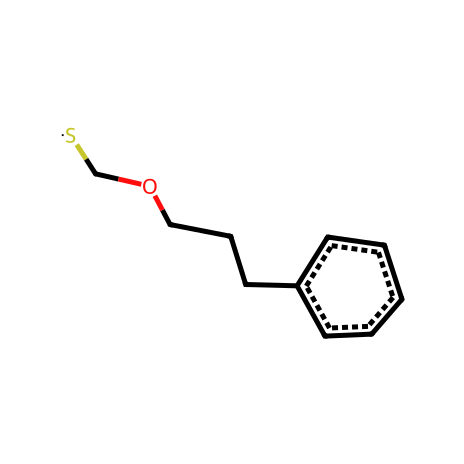 [S]COCCCc1ccccc1